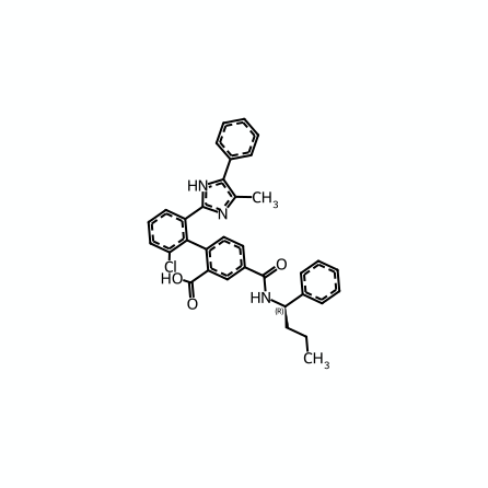 CCC[C@@H](NC(=O)c1ccc(-c2c(Cl)cccc2-c2nc(C)c(-c3ccccc3)[nH]2)c(C(=O)O)c1)c1ccccc1